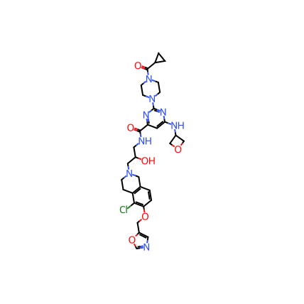 O=C(NCC(O)CN1CCc2c(ccc(OCc3cnco3)c2Cl)C1)c1cc(NC2COC2)nc(N2CCN(C(=O)C3CC3)CC2)n1